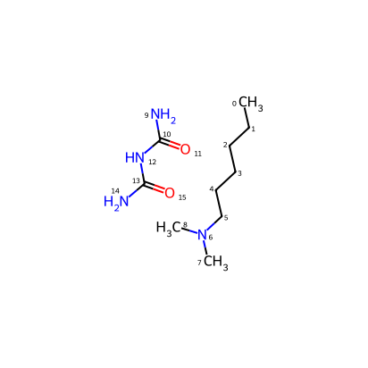 CCCCCCN(C)C.NC(=O)NC(N)=O